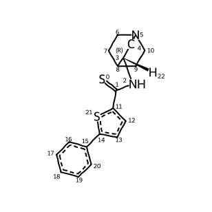 S=C(N[C@H]1CN2CCC1CC2)c1ccc(-c2ccccc2)s1